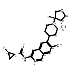 C[C@@]1(N2CCC(c3cc4cc(NC(=O)[C@@H]5C[C@H]5F)ncc4cc3Cl)CC2)COC[C@@H]1O